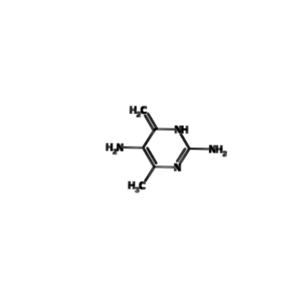 C=C1NC(N)=NC(C)=C1N